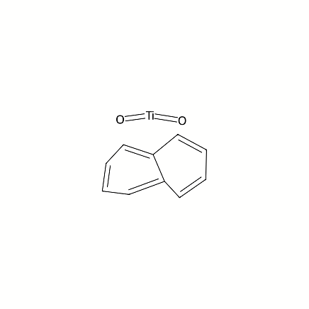 [O]=[Ti]=[O].c1ccc2ccccc2c1